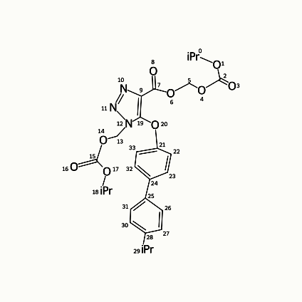 CC(C)OC(=O)OCOC(=O)c1nnn(COC(=O)OC(C)C)c1Oc1ccc(-c2ccc(C(C)C)cc2)cc1